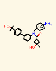 CC(C)(O)c1ccc(-c2cccc(N(CC34CCC(N)(CC3)CC4)C(=O)[C@H]3C[C@@](C)(O)C3)c2)cc1